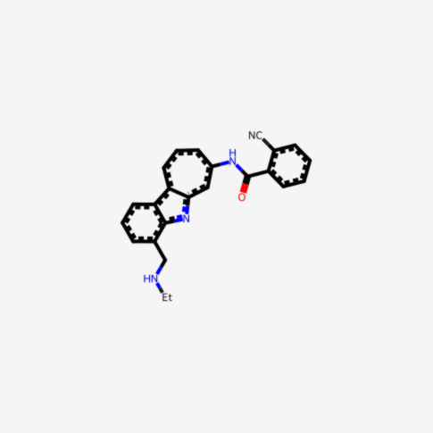 CCNCc1cccc2c3cccc(NC(=O)c4ccccc4C#N)cc-3nc12